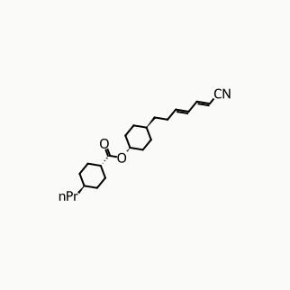 CCC[C@H]1CC[C@H](C(=O)O[C@H]2CC[C@H](CCC=CC=CC#N)CC2)CC1